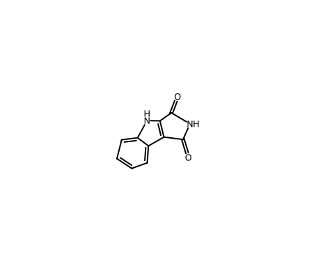 O=C1NC(=O)c2c1[nH]c1ccccc21